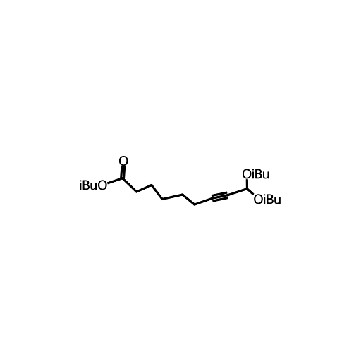 CC(C)COC(=O)CCCCCC#CC(OCC(C)C)OCC(C)C